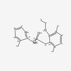 CCOc1c(C)ccc(C)c1CC(=O)Nc1ncccc1C